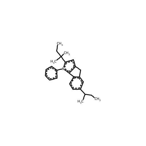 CCC(C)c1ccc2c(c1)Cc1cc(C(C)(C)CC)n(-c3ccccc3)c1-2